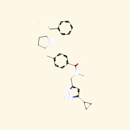 CN(Cc1cc(C2CC2)[nH]n1)C(=O)c1ccc(C[C@@H]2CC[C@H](C(O)c3ccccc3)N2)cc1